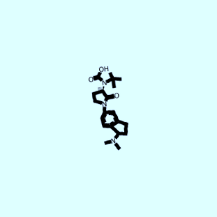 CN(C)C1CCc2cc(N3CC[C@H](N(C(=O)O)C(C)(C)C)C3=O)ccc21